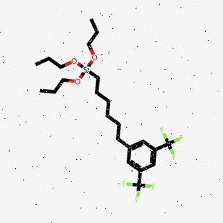 CCCO[Si](CCCCCCc1cc(C(F)(F)F)cc(C(F)(F)F)c1)(OCCC)OCCC